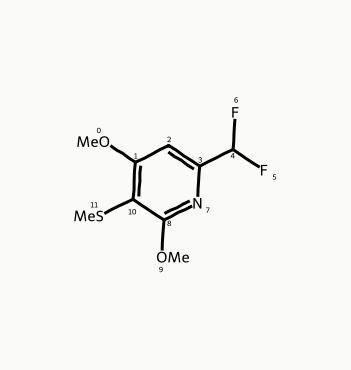 COc1cc(C(F)F)nc(OC)c1SC